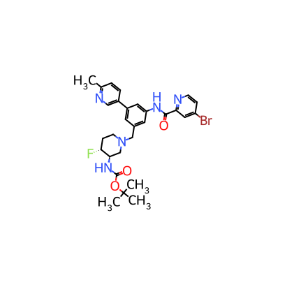 Cc1ccc(-c2cc(CN3CC[C@@H](F)[C@H](NC(=O)OC(C)(C)C)C3)cc(NC(=O)c3cc(Br)ccn3)c2)cn1